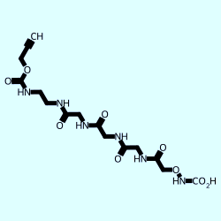 C#CCOC(=O)NCCNC(=O)CNC(=O)CNC(=O)CNC(=O)CONC(=O)O